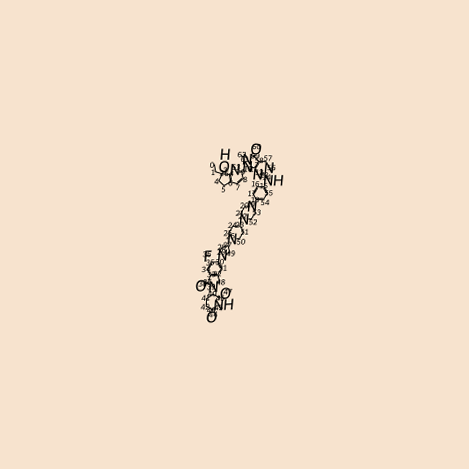 CC[C@@]1(O)CCc2ccc(-n3c4nc(Nc5ccc(N6CCN(C7CCN(C8CN(c9cc%10c(cc9F)C(=O)N(C9CCC(=O)NC9=O)C%10)C8)CC7)CC6)cc5)ncc4c(=O)n3C)nc21